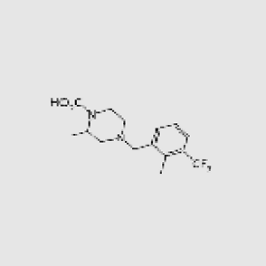 Cc1c(CN2CCN(C(=O)O)C(C)C2)cccc1C(F)(F)F